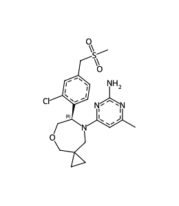 Cc1cc(N2CC3(CC3)COC[C@H]2c2ccc(CS(C)(=O)=O)cc2Cl)nc(N)n1